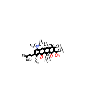 CCC(CCc1cc(N(C)C)c2c(c1C)C(=O)C1=C(C)C3(C)C(=O)C(C(C)O)=C(C)CC3(C)CC1(C)C2)C(C)(C)C